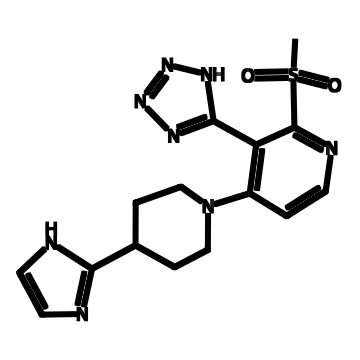 CS(=O)(=O)c1nccc(N2CCC(c3ncc[nH]3)CC2)c1-c1nnn[nH]1